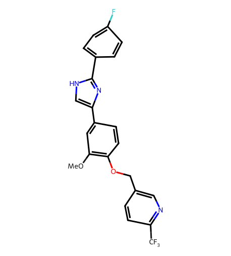 COc1cc(-c2c[nH]c(-c3ccc(F)cc3)n2)ccc1OCc1ccc(C(F)(F)F)nc1